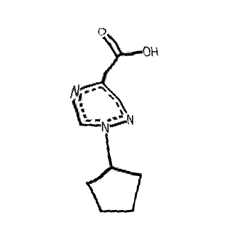 O=C(O)c1ncn(C2CCCC2)n1